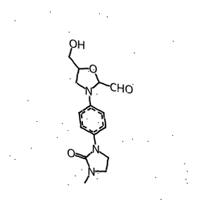 CN1CCN(c2ccc(N3CC(CO)OC3C=O)cc2)C1=O